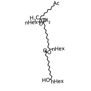 CCCCCCC(O)CCCCCCCCCCC(=O)OC(CCCCCC)CCCCCCCCCCC(=O)OC(CCCCCC)C(C)(C)CCCCCCCCC(C)=O